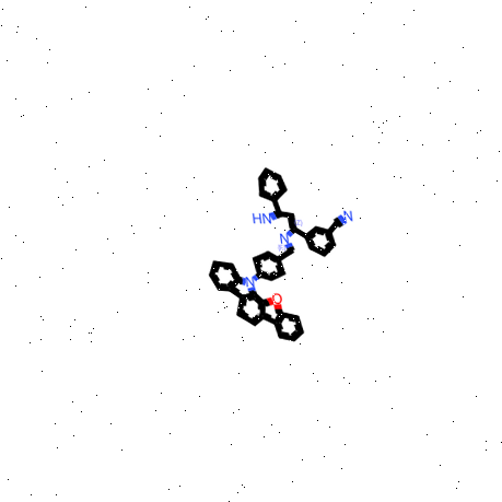 N#Cc1cccc(C(=C/C(=N)c2ccccc2)/N=C/c2ccc(-n3c4ccccc4c4ccc5c6ccccc6oc5c43)cc2)c1